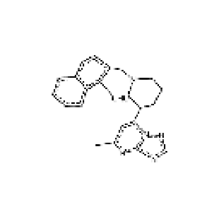 Cc1cc(C2CCCN(Cc3ccc4ccccc4c3C=O)C2)n2ncnc2n1